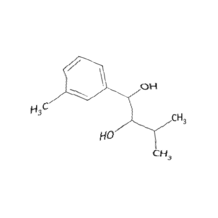 Cc1cccc(C(O)C(O)C(C)C)c1